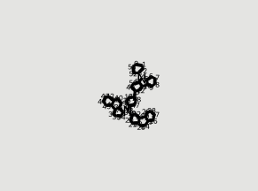 c1ccc(-n2c3ccccc3c3cc(-c4ccc(N(c5ccc6ccc7ccccc7c6c5)c5cccc6c5ccc5ccccc56)cc4)ccc32)cc1